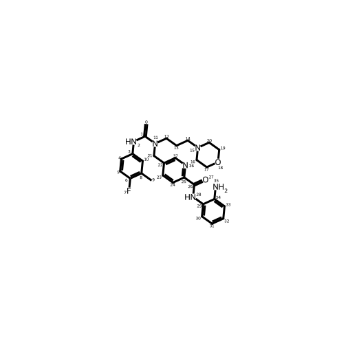 C=C(Nc1ccc(F)c(C)c1)N(CCCN1CCOCC1)Cc1ccc(C(=O)Nc2ccccc2N)nc1